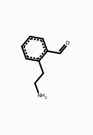 NCCc1ccccc1C=O